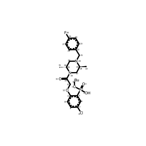 CCC(C)OP(=O)(O)c1cc(Cl)ccc1OCC(=O)N1C[C@H](C)N(Cc2ccc(F)cc2)C[C@H]1C